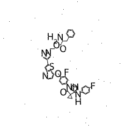 NC(Cc1ccccc1)C(=O)OCCn1cc(-c2cc3nccc(Oc4ccc(NC(=O)C5(C(=O)Nc6ccc(F)cc6)CC5)cc4F)c3s2)cn1